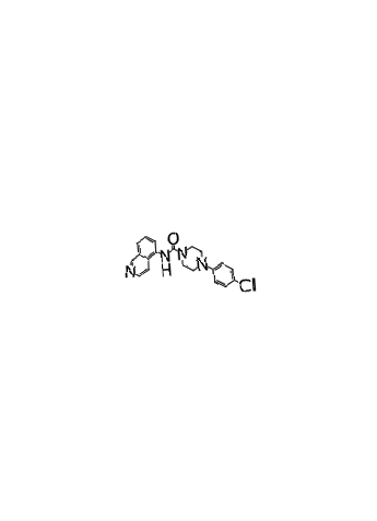 O=C(Nc1cccc2cnccc12)N1CCN(c2ccc(Cl)cc2)CC1